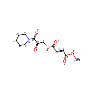 CC(C)OC(=O)/C=C/C(=O)OCC(=O)C(=O)N1CCCCC1